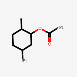 CCCC(=O)OC1CC(C(C)C)CCC1C